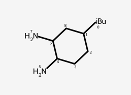 CCC(C)C1CCC(N)C(N)C1